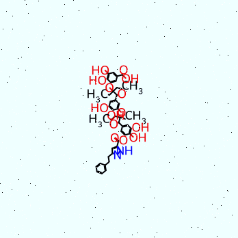 CCCC(CC)(Oc1cc(C(=O)O)cc(O)c1O)C(=O)c1cc(O)c(O)c(OC(CC)(CCC)C(=O)c2cc(O)c(O)c(OC(=O)c3cc(CCc4ccccc4)n[nH]3)c2)c1